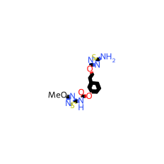 COc1nsc(NC(=O)Oc2cccc(CCOc3nsc(N)n3)c2)n1